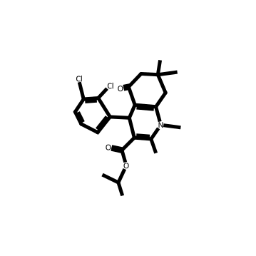 CC1=C(C(=O)OC(C)C)C(c2cccc(Cl)c2Cl)C2=C(CC(C)(C)CC2=O)N1C